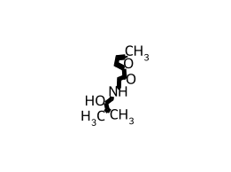 Cc1ccc(C(=O)CCNCC(O)C(C)C)o1